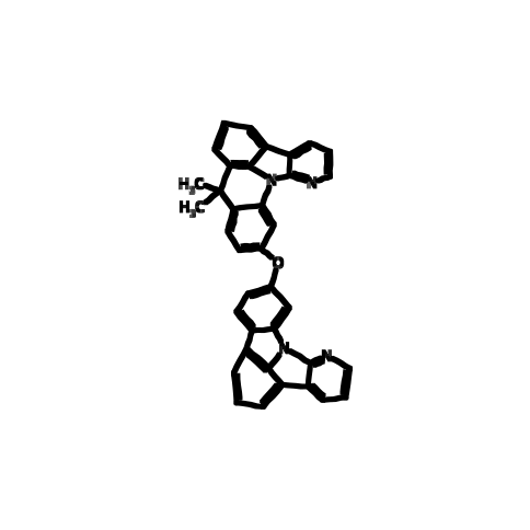 CC1(C)c2ccc(Oc3ccc4c5cccc6c7cccnc7n(c4c3)c56)cc2-n2c3ncccc3c3cccc1c32